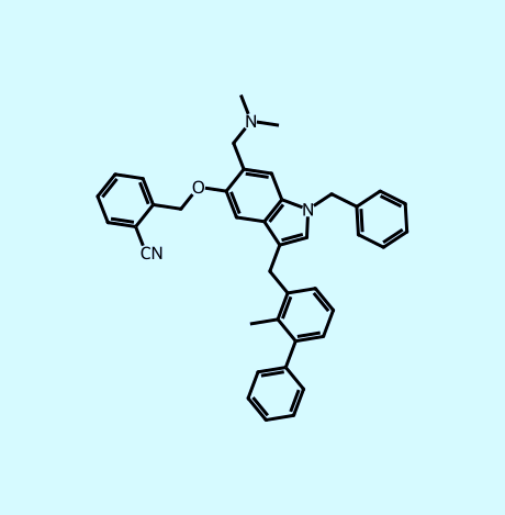 Cc1c(Cc2cn(Cc3ccccc3)c3cc(CN(C)C)c(OCc4ccccc4C#N)cc23)cccc1-c1ccccc1